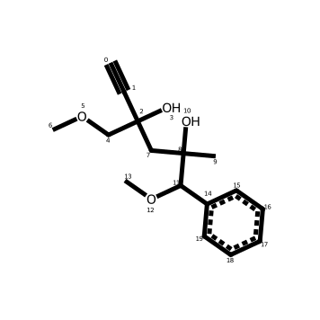 C#CC(O)(COC)CC(C)(O)C(OC)c1ccccc1